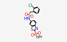 CCCS(=O)(=O)c1nc2ccc(NS(=O)(=O)Cc3ccccc3Cl)cc2s1